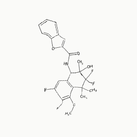 COc1c(F)c(F)cc2c1C(C)(C)C(F)(F)C(C)(O)C2NC(=O)c1cc2ccccc2o1